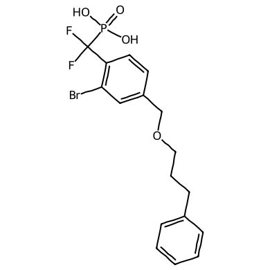 O=P(O)(O)C(F)(F)c1ccc(COCCCc2ccccc2)cc1Br